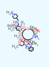 CC[C@H]1OC(=O)[C@H](C)[C@@H](O[C@H]2C[C@@](C)(OC)[C@](O)(CNCC3CCN(C)CC3)[C@H](C)O2)[C@H](C)[C@@H](O[C@@H]2O[C@H](C)C[C@H](N(C)C(=O)N(C)c3ccccc3)[C@H]2O)[C@](C)(O)C[C@@H](C)CN[C@H](C)[C@@H](O)[C@]1(C)O